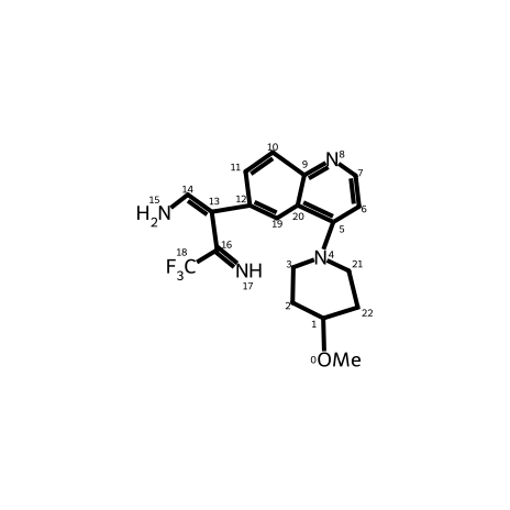 COC1CCN(c2ccnc3ccc(/C(=C/N)C(=N)C(F)(F)F)cc23)CC1